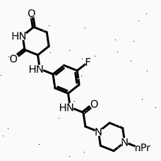 CCCN1CCN(CC(=O)Nc2cc(F)cc(NC3CCC(=O)NC3=O)c2)CC1